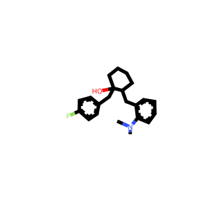 CN(C)c1ccccc1CC1CCCCC1(O)Cc1ccc(F)cc1